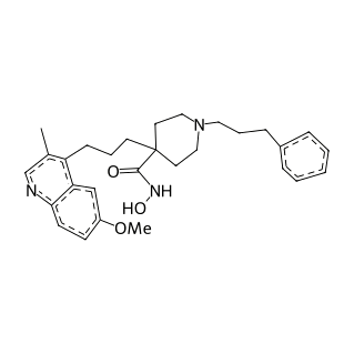 COc1ccc2ncc(C)c(CCCC3(C(=O)NO)CCN(CCCc4ccccc4)CC3)c2c1